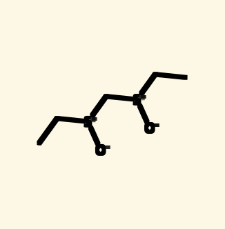 CC[S+]([O-])C[S+]([O-])CC